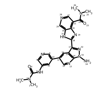 CN(C)C(=O)Nc1cncc(-c2cnc3c(c2)c(-c2nc4c(C(=O)N(C)C)cncc4[nH]2)nn3N)c1